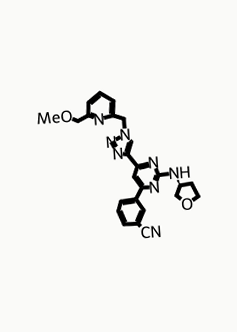 COCc1cccc(Cn2cc(-c3cc(-c4cccc(C#N)c4)nc(N[C@@H]4CCOC4)n3)nn2)n1